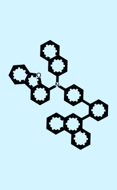 c1ccc(-c2cc3ccccc3c3ccccc23)c(-c2ccc(N(c3ccc4ccccc4c3)c3cccc4c3oc3ccccc34)cc2)c1